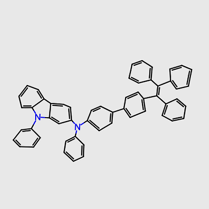 c1ccc(C(=C(c2ccccc2)c2ccc(-c3ccc(N(c4ccccc4)c4ccc5c6ccccc6n(-c6ccccc6)c5c4)cc3)cc2)c2ccccc2)cc1